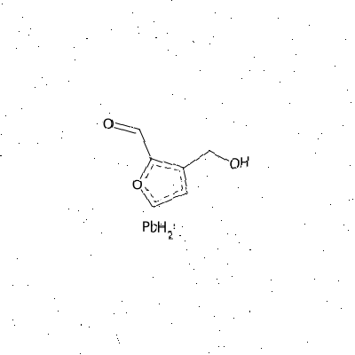 O=Cc1occc1CO.[PbH2]